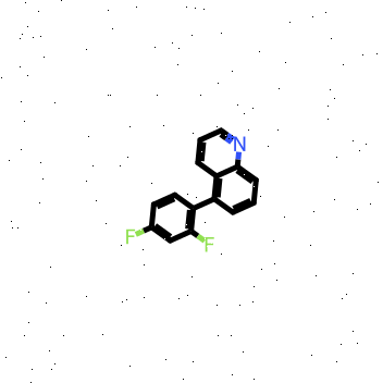 Fc1ccc(-c2cccc3ncccc23)c(F)c1